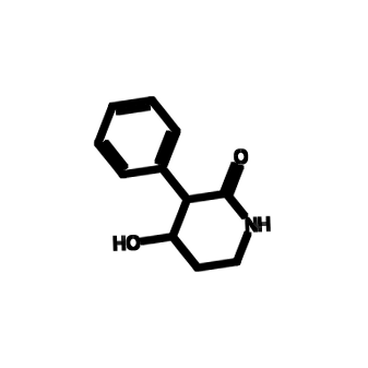 O=C1NCCC(O)C1c1ccccc1